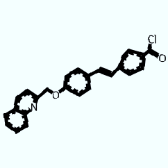 O=C(Cl)c1ccc(C=Cc2ccc(OCc3ccc4ccccc4n3)cc2)cc1